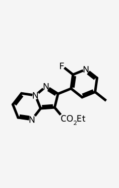 CCOC(=O)c1c(-c2cc(C)cnc2F)nn2cccnc12